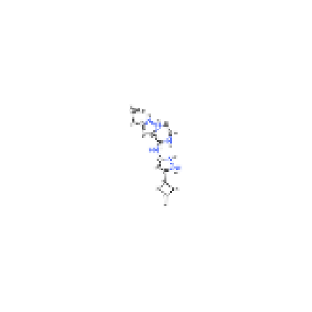 [CH2]C1CC(c2cc(Nc3nccn4nc(COC)cc34)n[nH]2)C1